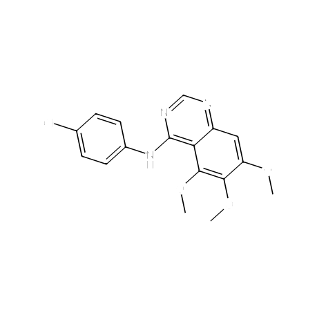 COc1cc2ncnc(Nc3ccc(Cl)cc3)c2c(OC)c1OC